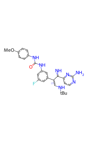 COc1ccc(NC(=O)Nc2cc(F)cc(/C(=C/NC(C)(C)C)C(=N)c3ccnc(N)n3)c2)cc1